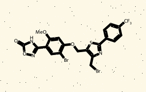 COc1cc(OCc2sc(-c3ccc(C(F)(F)F)cc3)nc2CBr)c(Br)cc1-c1noc(=O)[nH]1